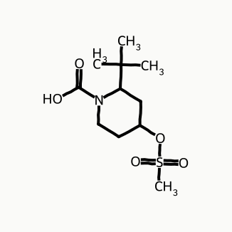 CC(C)(C)C1CC(OS(C)(=O)=O)CCN1C(=O)O